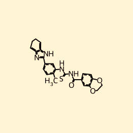 Cc1ccc(-c2nc3c([nH]2)=CCCC=3)cc1NC(=S)NC(=O)c1ccc2c(c1)OCCO2